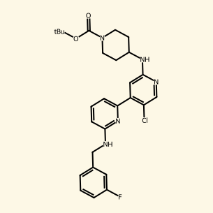 CC(C)(C)OC(=O)N1CCC(Nc2cc(-c3cccc(NCc4cccc(F)c4)n3)c(Cl)cn2)CC1